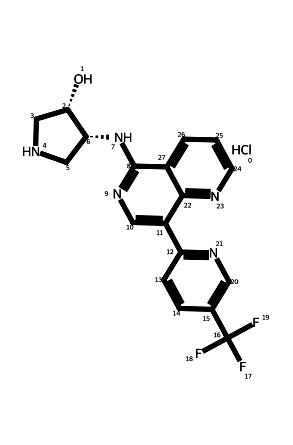 Cl.O[C@H]1CNC[C@H]1Nc1ncc(-c2ccc(C(F)(F)F)cn2)c2ncccc12